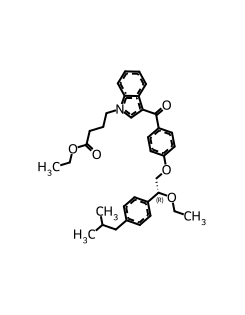 CCOC(=O)CCCn1cc(C(=O)c2ccc(OC[C@H](OCC)c3ccc(CC(C)C)cc3)cc2)c2ccccc21